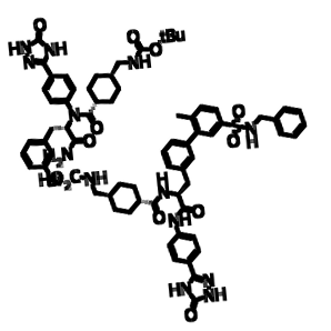 CC(C)(C)OC(=O)NC[C@H]1CC[C@H](C(=O)N(c2ccc(-c3n[nH]c(=O)[nH]3)cc2)[C@@H](Cc2cccc(Br)c2)C(N)=O)CC1.Cc1ccc(S(=O)(=O)NCc2ccccc2)cc1-c1cccc(C[C@H](NC(=O)[C@H]2CC[C@H](CNC(=O)O)CC2)C(=O)Nc2ccc(-c3n[nH]c(=O)[nH]3)cc2)c1